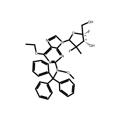 CCOc1nc(N(OC)C(c2ccccc2)(c2ccccc2)c2ccccc2)nc2c1ncn2C1O[C@@](F)(CO)[C@H](O)C1(C)F